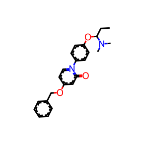 CCC(Oc1ccc(-n2ccc(OCc3ccccc3)cc2=O)cc1)N(C)C